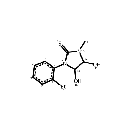 CCc1ccccc1N1C(=S)N(C)C(O)C1O